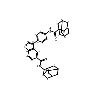 O=C(NC1C2CC3CC(C2)CC1C3)c1ccc2[nH]cc(-c3ccc(NC(=O)C45CC6CC(CC(C6)C4)C5)cc3)c2c1